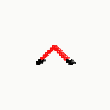 [O-2].[O-2].[O-2].[O-2].[O-2].[O-2].[O-2].[O-2].[O-2].[O-2].[O-2].[Re+7].[Re+7].[Ru+4].[Ru+4]